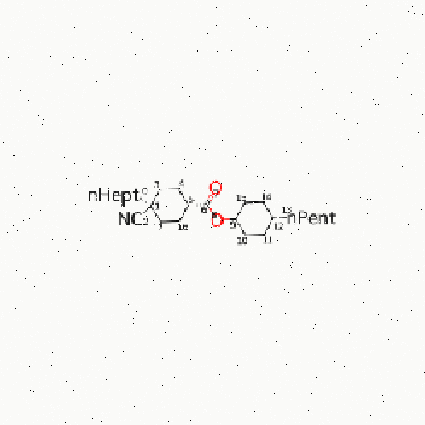 CCCCCCC[C@]1(C#N)CC[C@H](C(=O)OC2CCC(CCCCC)CC2)CC1